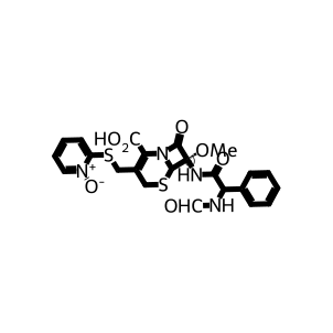 CO[C@@]1(NC(=O)C(NC=O)c2ccccc2)C(=O)N2C(C(=O)O)=C(CSc3cccc[n+]3[O-])CSC21